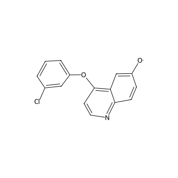 [O]c1ccc2nccc(Oc3cccc(Cl)c3)c2c1